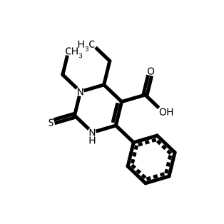 CCC1C(C(=O)O)=C(c2ccccc2)NC(=S)N1CC